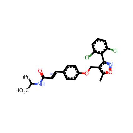 Cc1onc(-c2c(Cl)cccc2Cl)c1COc1ccc(/C=C/C(=O)NC(C(=O)O)C(C)C)cc1